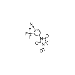 CC1(C)C(=O)N(c2ccc(C#N)c(C(F)(F)F)c2)C(=O)N1C1CO1